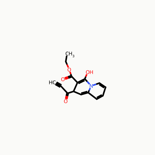 C#CC(=O)C1C=C2C=CC=CN2C(O)=C1C(=O)OCC